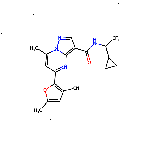 Cc1cc(C#N)c(-c2cc(C)n3ncc(C(=O)NC(C4CC4)C(F)(F)F)c3n2)o1